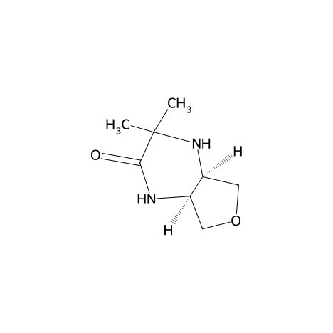 CC1(C)N[C@H]2COC[C@H]2NC1=O